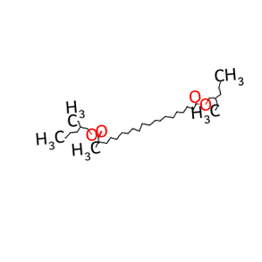 CCCCC(CC)COC(=O)CCCCCCCCCCCCCCCCCC(C)C(=O)OCC(CC)CCCC